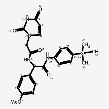 COc1ccc(C(NC(=O)Cn2ccc(=O)[nH]c2=O)C(=O)Nc2ccc(S(C)(C)C)cc2)cc1